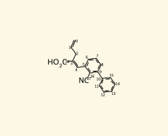 C=CCC(=Cc1cccc(-c2ccccc2)c1C#N)C(=O)O